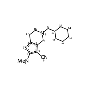 CNc1sc2c(c1C#N)CN(CC1CCCCC1)CC2